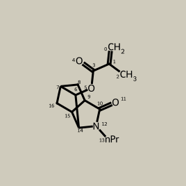 C=C(C)C(=O)OC1C2CC3C(=O)N(CCC)C1C3C2